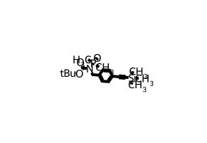 CC(C)(C)OC(=O)N(Cc1ccc(C#C[Si](C)(C)C)cc1)P(C)(C)=O